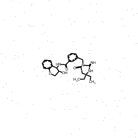 CCC1(CC)CC(=O)N(Cc2cccc(C(=O)NC3c4ccccc4OCC3O)c2)C(=N)N1